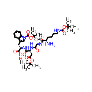 CC(C)(C)OC(=O)C[C@H](NC(=O)CNC(=O)[C@@H](N)CCCCNC(=O)OC(C)(C)C)C(=O)N[C@@H](Cc1cn(C(=O)OC(C)(C)C)c2ccccc12)C(=O)O